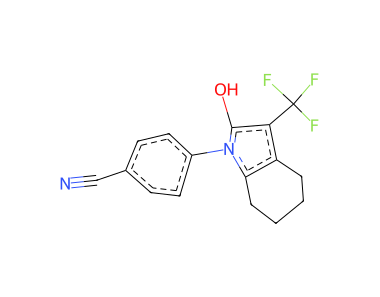 N#Cc1ccc(-n2c(O)c(C(F)(F)F)c3c2CCCC3)cc1